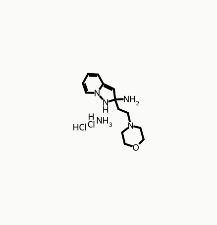 Cl.Cl.N.NC1(CCN2CCOCC2)C=C2C=CC=CN2N1